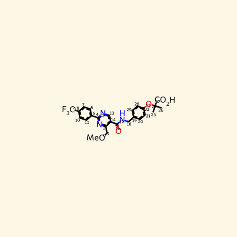 COCc1nc(-c2ccc(C(F)(F)F)cc2)ncc1C(=O)NCc1ccc(OC(C)(C)C(=O)O)cc1